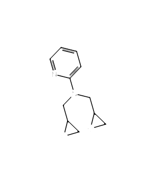 c1ccc(N(CC2CO2)CC2CO2)nc1